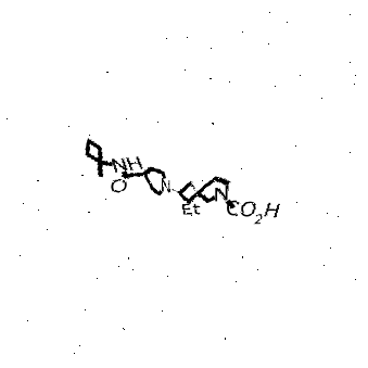 CCC1[C@H](N2CCC(C(=O)NC3(C)CCC3)CC2)C[C@@]12CCN(C(=O)O)C2